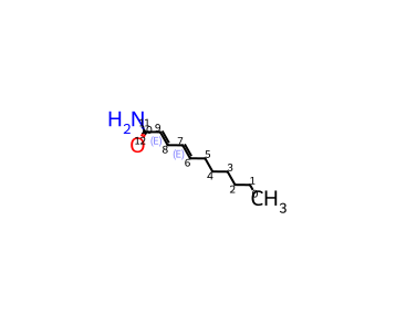 CCCCCC/C=C/C=C/C(N)=O